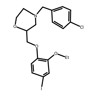 CCOc1cc(I)ccc1OCC1CN(Cc2ccc(Cl)cc2)CCO1